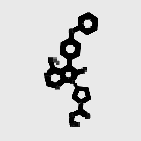 CC(C)(C)OC(=O)N1CC[C@@H](n2c(F)c(-c3ccc(Oc4ccccc4)cc3)c3c(N)ncnc32)C1